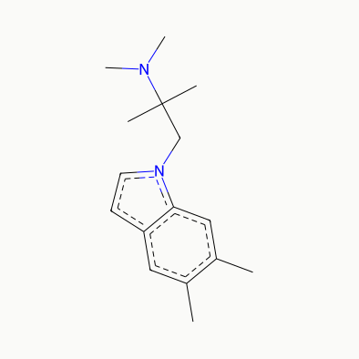 Cc1cc2ccn(CC(C)(C)N(C)C)c2cc1C